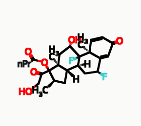 CCCC(=O)O[C@]1(C(=O)CO)[C@H](C)C[C@H]2[C@@H]3C[C@H](F)C4=CC(=O)C=C[C@]4(C)[C@@]3(F)[C@@H](O)C[C@@]21C